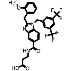 COc1ccccc1Cc1nc2cc(C(=O)NCCC(=O)O)ccc2n1Cc1cc(C(F)(F)F)cc(C(F)(F)F)c1